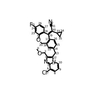 COCc1nc2c(Cl)cccn2c1Cc1ccc2c(c1)COc1cc(F)ccc1C2=C(C#N)C1CC1